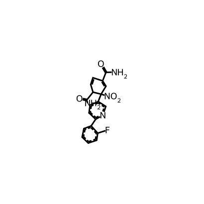 NC(=O)C1=CC(c2ccc(-c3ccccc3F)nc2)([N+](=O)[O-])C(C(N)=O)C=C1